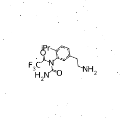 CC(C)c1ccc(CCN)cc1N(C(N)=O)C(=O)C(F)(F)F